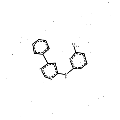 FC(F)(F)c1cccc(Nc2cc(-c3ccccc3)ncn2)n1